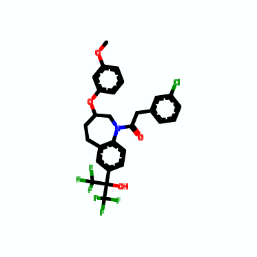 COc1cccc(OC2CCc3cc(C(O)(C(F)(F)F)C(F)(F)F)ccc3N(C(=O)Cc3cccc(Cl)c3)C2)c1